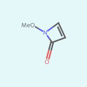 CON1C=CC1=O